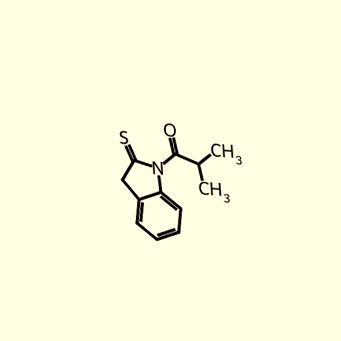 CC(C)C(=O)N1C(=S)Cc2ccccc21